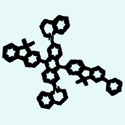 CC1(C)c2ccccc2-c2ccc(-c3c4ccc(N5CCCc6ccccc65)cc4c(-c4ccc5c(c4)C(C)(C)c4cc(-c6ccccc6)ccc4-5)c4ccc(N5CCCc6ccccc65)cc34)cc21